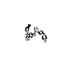 C[C@@H](O)c1cc2cnc(Nc3ccc(CN4CCN(C)CC4)cn3)nc2c(N2CCC(C)(C)C2)n1